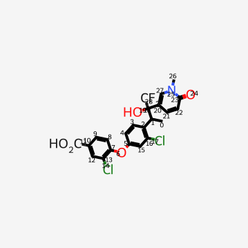 CC(c1ccc(Oc2ccc(C(=O)O)cc2Cl)cc1Cl)C(O)(c1ccc(=O)n(C)c1)C(F)(F)F